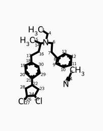 CC#N.CCN(CCc1ccccc1)C(C)CCc1ccc(C2CC(Cl)C(Cl)C2)cc1